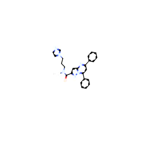 CN(CCCn1ccnc1)C(=O)c1cc2nc(-c3ccccc3)cc(-c3ccccc3)n2n1